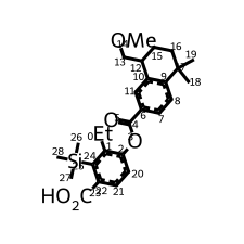 CCc1c(OC(=O)c2ccc3c(c2)C(COC)CCC3(C)C)ccc(C(=O)O)c1[Si](C)(C)C